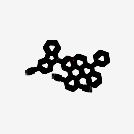 N#Cc1ccc2c(c1)c1ccccc1n2-c1cccc(-c2c(C#N)ccc(C#N)c2-c2c3ccccc3c(-c3ccccc3)c3ccccc23)c1